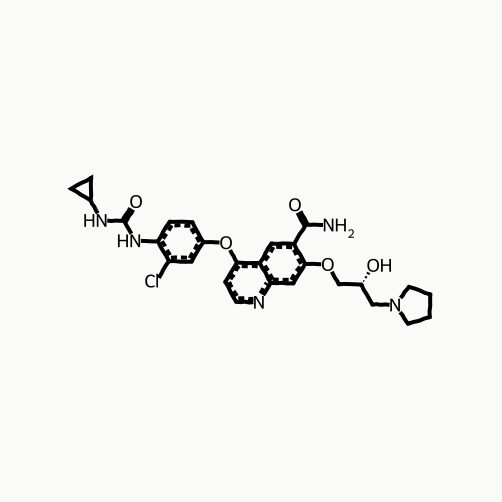 NC(=O)c1cc2c(Oc3ccc(NC(=O)NC4CC4)c(Cl)c3)ccnc2cc1OC[C@H](O)CN1CCCC1